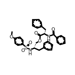 COc1ccc(S(=O)(=O)N[C@H](COC(=O)[C@H](Cc2ccccc2)NC(=O)c2ccccc2)Cc2ccccc2)cc1